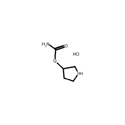 Cl.NC(=O)OC1CCNC1